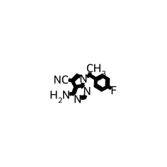 CC(c1ccc(F)cc1)n1cc(C#N)c2c(N)ncnc21